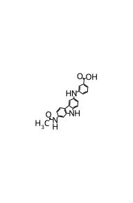 CC(=O)Nc1ccc2c(c1)[nH]c1ccc(Nc3cccc(C(=O)O)c3)cc12